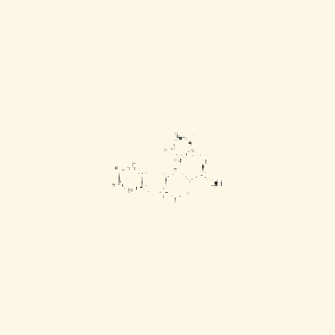 O=C(O)C1CCN(Cc2ccccc2)CC1c1cccs1